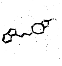 Nc1nc2c(s1)CCN(C/C=C/c1scc3ccccc13)CC2